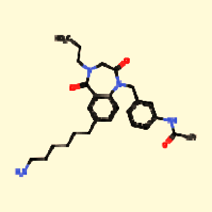 CCCC(=O)Nc1cccc(CN2C(=O)CN(CCC(=O)O)C(=O)c3cc(CCCCCCN)ccc32)c1